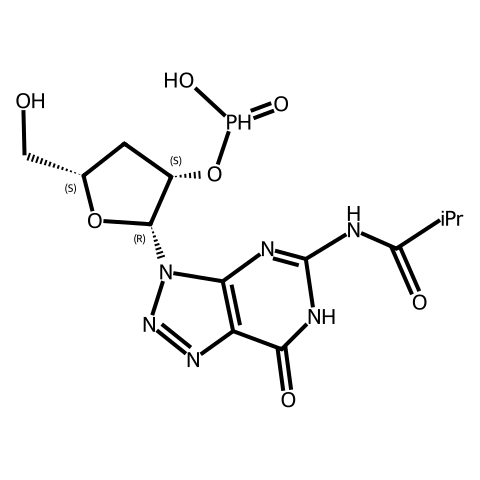 CC(C)C(=O)Nc1nc2c(nnn2[C@@H]2O[C@H](CO)C[C@@H]2O[PH](=O)O)c(=O)[nH]1